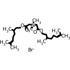 CC(C)=CCCC(C)CCOC(=O)C[N+](C)(C)CC(=O)OCCC(C)CCC=C(C)C.[Br-]